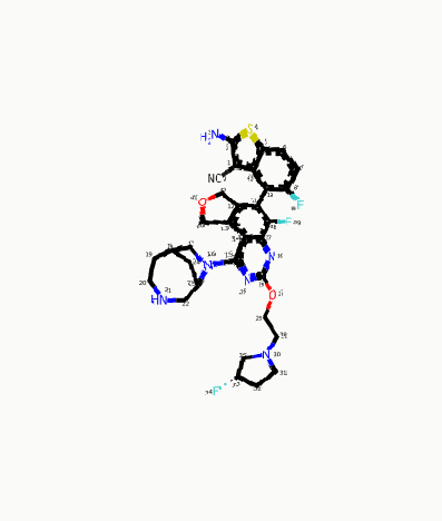 N#Cc1c(N)sc2ccc(F)c(-c3c4c(c5c(N6CC7CCNCC6C7)nc(OCCN6CC[C@H](F)C6)nc5c3F)COC4)c12